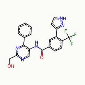 O=C(Nc1cnc(CO)nc1-c1ccccc1)c1ccc(C(F)(F)F)c(-c2cc[nH]n2)c1